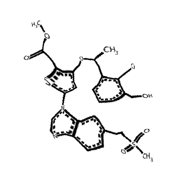 COC(=O)c1sc(-n2cnc3ccc(CS(C)(=O)=O)cc32)cc1OC(C)c1cccc(O)c1Cl